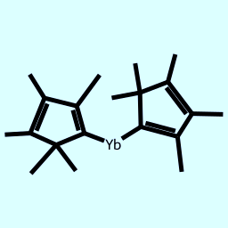 CC1=C(C)C(C)(C)[C]([Yb][C]2=C(C)C(C)=C(C)C2(C)C)=C1C